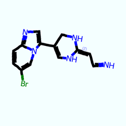 N=C/C=C1\NC=C(c2cnc3ccc(Br)cn23)CN1